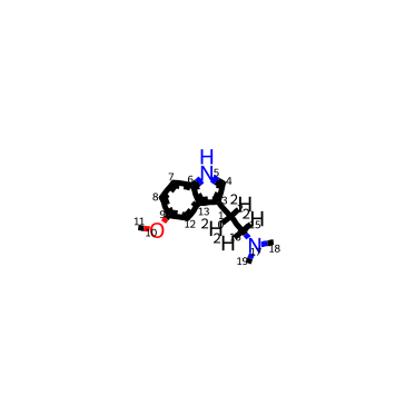 [2H]C([2H])(c1c[nH]c2ccc(OC)cc12)C([2H])([2H])N(C)C